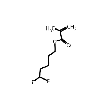 C=C(C)C(=O)OCCCCC(F)F